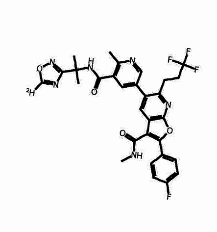 [2H]c1nc(C(C)(C)NC(=O)c2cc(-c3cc4c(C(=O)NC)c(-c5ccc(F)cc5)oc4nc3CCC(F)(F)F)cnc2C)no1